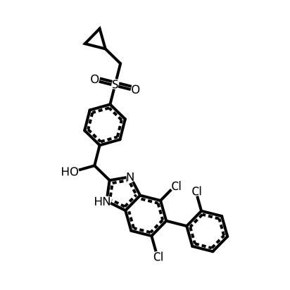 O=S(=O)(CC1CC1)c1ccc(C(O)c2nc3c(Cl)c(-c4ccccc4Cl)c(Cl)cc3[nH]2)cc1